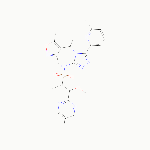 COc1cccc(-c2nnc(NS(=O)(=O)C(C)C(OC(C)C)c3ncc(C)cn3)n2C(C)c2c(C)noc2C)n1